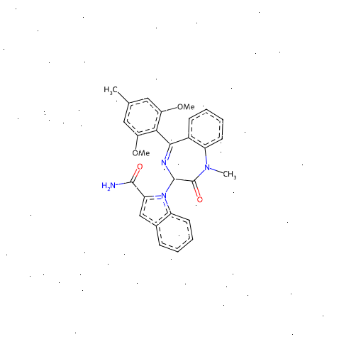 COc1cc(C)cc(OC)c1C1=NC(n2c(C(N)=O)cc3ccccc32)C(=O)N(C)c2ccccc21